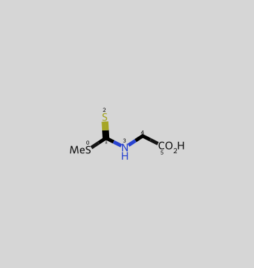 CSC(=S)NCC(=O)O